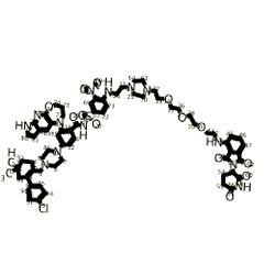 CC1(C)CCC(CN2CCN(c3ccc(C(=O)NS(=O)(=O)c4ccc(NCCN5CCN(CCOCCOCCOCCNc6cccc7c6C(=O)N(C6CCC(=O)NC6=O)C7=O)CC5)c([N+](=O)[O-])c4)c(N4CCCOc5nc6[nH]ccc6cc54)c3)CC2)=C(c2ccc(Cl)cc2)C1